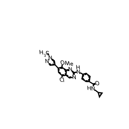 COc1c(-c2cnn(C)c2)cc(Cl)c2cnc(Nc3ccc(C(=O)NC4CC4)cc3)nc12